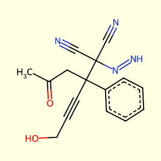 CC(=O)CC(C#CCO)(c1ccccc1)C(C#N)(C#N)N=N